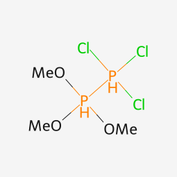 CO[PH](OC)(OC)[PH](Cl)(Cl)Cl